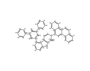 C1=CC(c2cc3c4ccccc4ccc3c3ccccc23)Nc2oc3cccc(-c4nc(-c5ccccc5)nc(-c5ccccc5)n4)c3c21